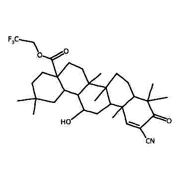 CC1(C)CCC2(C(=O)OCC(F)(F)F)CCC3(C)C(C(O)CC4C5(C)C=C(C#N)C(=O)C(C)(C)C5CCC43C)C2C1